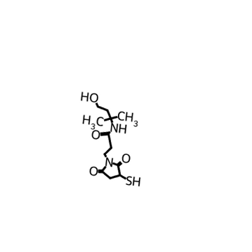 CC(C)(CCO)NC(=O)CCN1C(=O)CC(S)C1=O